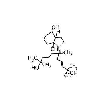 CC(C)(O)CCC[C@@](C)(C/C=C/C(O)(C(F)(F)F)C(F)(F)F)[C@H]1CC[C@H]2[C@@H](O)CCC[C@@]12C